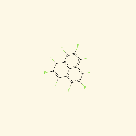 FC1=C(F)C(F)c2c(F)c(F)c(F)c3c(F)c(F)c(F)c1c23